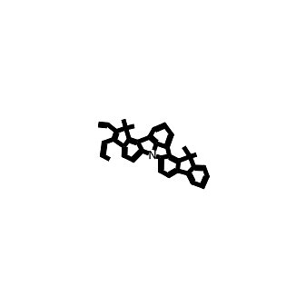 C=CC1=C(/C=C\C)c2ccc3c(c2C1(C)C)c1cccc2c4c5c(ccc4n3c12)-c1ccccc1C5(C)C